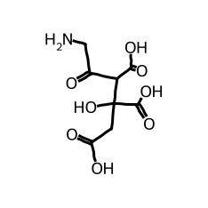 NCC(=O)C(C(=O)O)C(O)(CC(=O)O)C(=O)O